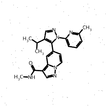 CNC(=O)c1cnn2ccc(-c3c(C(C)C)cnn3-c3cccc(C)n3)cc12